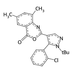 Cc1cc(C)c2nc(-c3cnn(C(C)(C)C)c3-c3ccccc3Cl)oc(=O)c2c1